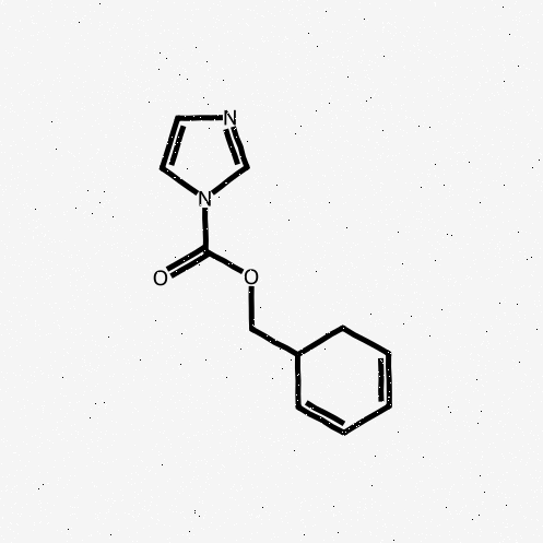 O=C(OCC1C=CC=CC1)n1ccnc1